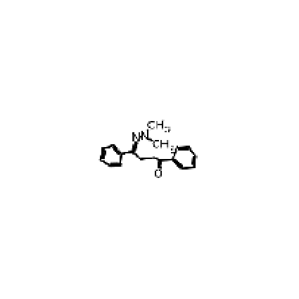 CN(C)N=C(CCC(=O)c1ccccc1)c1ccccc1